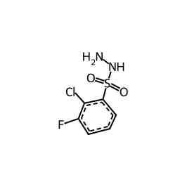 NNS(=O)(=O)c1cccc(F)c1Cl